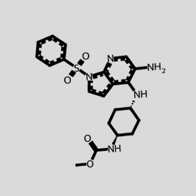 COC(=O)N[C@H]1CC[C@H](Nc2c(N)cnc3c2ccn3S(=O)(=O)c2ccccc2)CC1